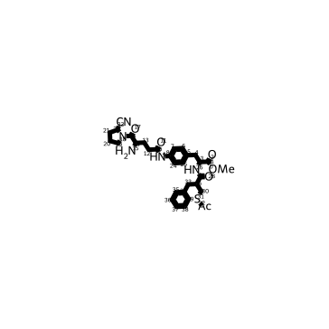 COC(=O)C(Cc1ccc(NC(=O)CCC(N)C(=O)N2CCCC2C#N)cc1)NC(=O)C(CSC(C)=O)Cc1ccccc1